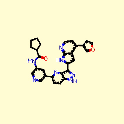 O=C(Nc1cncc(-c2ccc3[nH]nc(-c4cc5c(-c6ccoc6)ccnc5[nH]4)c3n2)c1)C1CCCC1